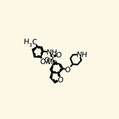 COc1ccc(C)cc1NS(=O)(=O)c1cc(OC2CCNCC2)c2occc2c1